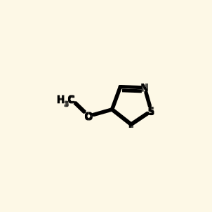 COC1[C]SN=C1